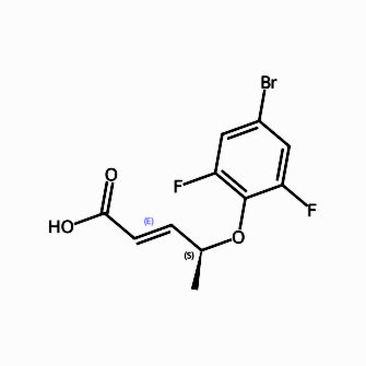 C[C@@H](/C=C/C(=O)O)Oc1c(F)cc(Br)cc1F